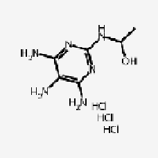 CC(O)Nc1nc(N)c(N)c(N)n1.Cl.Cl.Cl